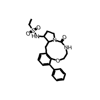 CCS(=O)(=O)NC1CCN2C(=O)NCCOc3c(cccc3-c3ccccc3)CC12